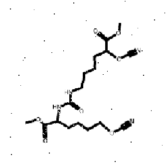 COC(=O)C(CCCCOC#N)NC(=O)NCCCCC(OC#N)C(=O)OC